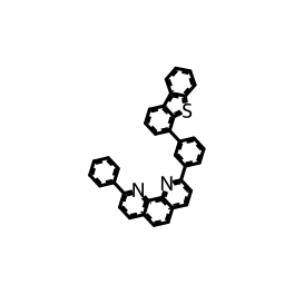 c1ccc(-c2ccc3ccc4ccc(-c5cccc(-c6cccc7c6sc6ccccc67)c5)nc4c3n2)cc1